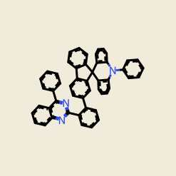 c1ccc(-c2nc(-c3ccccc3-c3ccc4c(c3)C3(c5ccccc5-4)c4ccccc4N(c4ccccc4)c4ccccc43)nc3ccccc23)cc1